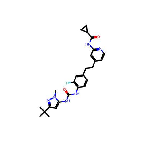 Cn1nc(C(C)(C)C)cc1NC(=O)Nc1ccc(CCc2ccnc(NC(=O)C3CC3)c2)cc1F